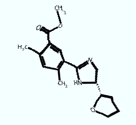 COC(=O)c1cc(C2=NCC([C@@H]3CCCO3)N2)c(C)cc1C